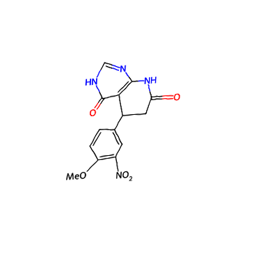 COc1ccc(C2CC(=O)Nc3nc[nH]c(=O)c32)cc1[N+](=O)[O-]